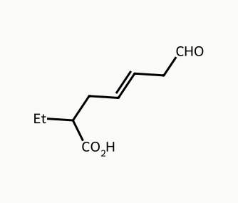 CCC(CC=CCC=O)C(=O)O